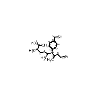 CCCCC(C)C(C)CCC(C)N(c1ccc(CS)cc1)C(C)CCC(C)C